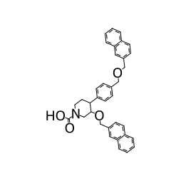 O=C(O)N1CCC(c2ccc(COCc3ccc4ccccc4c3)cc2)C(OCc2ccc3ccccc3c2)C1